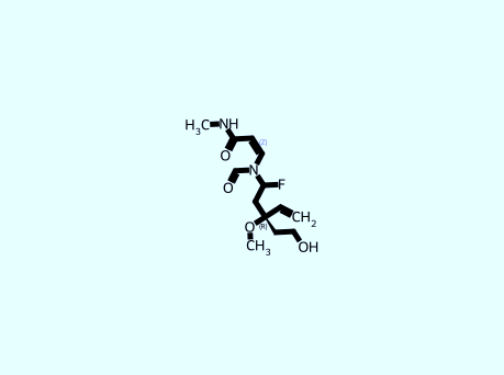 C=C[C@@](CCO)(CC(F)N(C=O)/C=C\C(=O)NC)OC